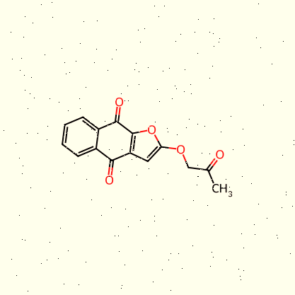 CC(=O)COc1cc2c(o1)C(=O)c1ccccc1C2=O